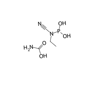 CCN(C#N)P(O)O.NC(=O)O